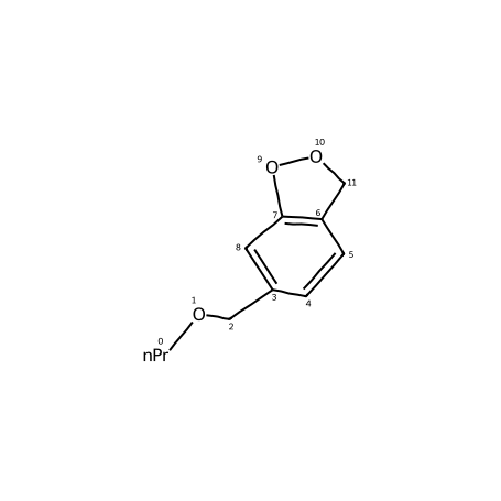 CCCOCc1ccc2c(c1)OOC2